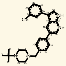 CC(C)(C)N1CCN(Cc2ccc(-c3cnc4[nH]cc(-c5cccc(Cl)c5)c4c3)cc2)CC1